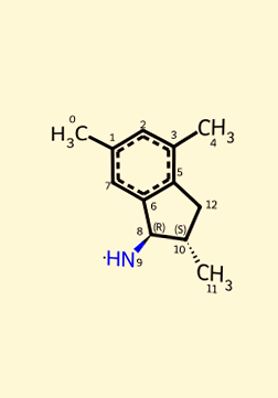 Cc1cc(C)c2c(c1)[C@H]([NH])[C@@H](C)C2